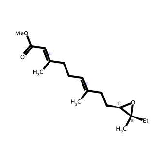 CC[C@]1(C)O[C@@H]1CC/C(C)=C/CC/C(C)=C/C(=O)OC